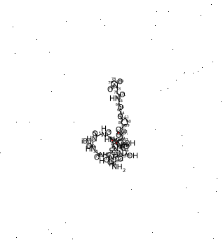 CC[C@H](C)[C@@H]1NC(=O)CNC(=O)C2Cc3c([nH]c4cc(O)ccc34)[S@+]([O-])CC(NC(=O)CNC1=O)C(=O)NC(CC(N)=O)C(=O)N1CC(O)CC1C(=O)N[C@@H]([C@@H](C)[C@@H]1COC(c3cccc(OCCOCCNC(=O)CCN4C(=O)C=CC4=O)c3)O1)C(=O)N2